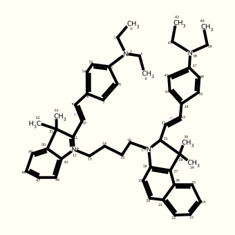 CCN(CC)c1ccc(/C=C/C2=[N+](CCCCN3c4ccc5ccccc5c4C(C)(C)C3/C=C/c3ccc(N(CC)CC)cc3)c3ccccc3C2(C)C)cc1